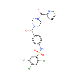 O=C(c1ccc(NS(=O)(=O)c2cc(Cl)c(Cl)cc2Cl)cc1)N1CCN(C(=O)c2ccccn2)CC1